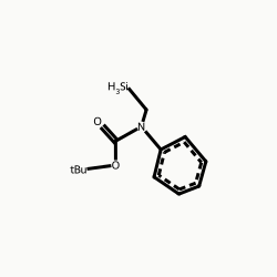 CC(C)(C)OC(=O)N(C[SiH3])c1ccccc1